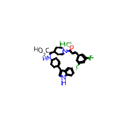 Cl.O=C(O)C(NC1CCC(c2c[nH]c3ccccc23)CC1)C1CCN(C(=O)C=Cc2cc(F)cc(F)c2)CC1